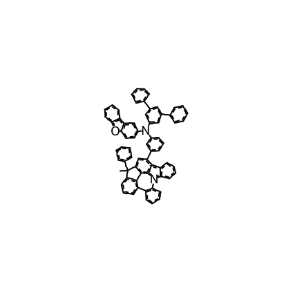 CC1(c2ccccc2)c2cccc3c2-c2c1cc(-c1cccc(N(c4cc(-c5ccccc5)cc(-c5ccccc5)c4)c4ccc5oc6ccccc6c5c4)c1)c1c4ccccc4n(c21)-c1ccccc1-3